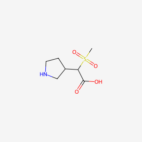 CS(=O)(=O)C(C(=O)O)C1CCNC1